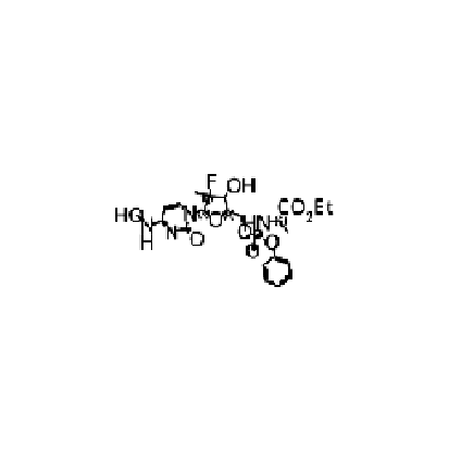 CCOC(=O)[C@H](C)NP(=O)(OC[C@H]1O[C@@H](n2ccc(NO)nc2=O)[C@](C)(F)C1O)Oc1ccccc1